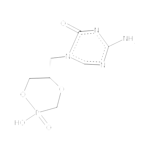 Nc1ncn(C[C@H]2COP(=O)(O)CO2)c(=O)n1